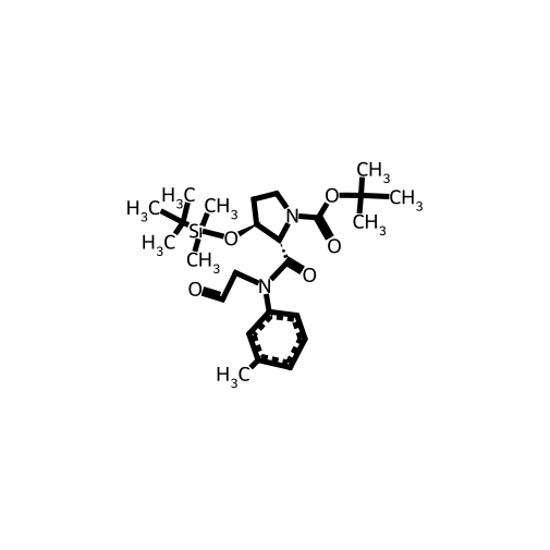 Cc1cccc(N(CC=O)C(=O)[C@@H]2[C@@H](O[Si](C)(C)C(C)(C)C)CCN2C(=O)OC(C)(C)C)c1